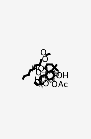 C=C[C@@]1(C)CC(=O)[C@]2(O)[C@@]3(C)[C@@H](O)CCC(C)(C)[C@@H]3[C@H](O)[C@H](OC(C)=O)[C@@]2(C)O1.CCCCCCCCOC(C)=O